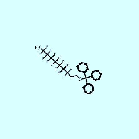 FC(F)(F)C(F)(F)C(F)(F)C(F)(F)C(F)(F)C(F)(F)C(F)(F)C(F)(F)CCOC(c1ccccc1)(c1ccccc1)c1ccccc1